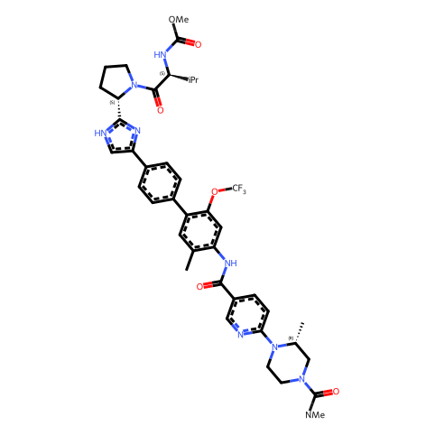 CNC(=O)N1CCN(c2ccc(C(=O)Nc3cc(OC(F)(F)F)c(-c4ccc(-c5c[nH]c([C@@H]6CCCN6C(=O)[C@@H](NC(=O)OC)C(C)C)n5)cc4)cc3C)cn2)[C@H](C)C1